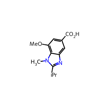 COc1cc(C(=O)O)cc2nc(C(C)C)n(C)c12